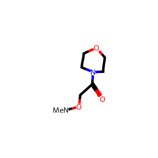 CNOCC(=O)N1CCOCC1